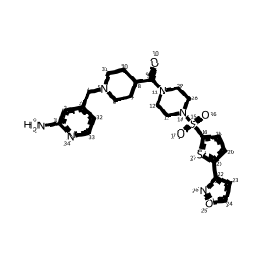 Nc1cc(CN2CCC(C(=O)N3CCN(S(=O)(=O)c4ccc(-c5ccon5)s4)CC3)CC2)ccn1